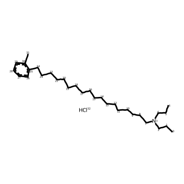 CCCN(CCC)CCCCCCCCCCCCCCCCCCc1ccccc1C.Cl